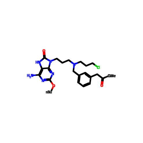 CCCCOc1nc(N)c2[nH]c(=O)n(CCCN(CCCCl)Cc3cccc(CC(=O)OC)c3)c2n1